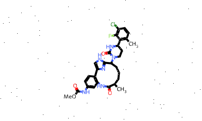 COC(=O)Nc1ccc2c(c1)NC(=O)C(C)CCCC(N1CCC(c3c(C)ccc(Cl)c3F)NC1=O)c1nc-2c[nH]1